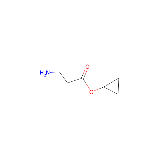 NCCC(=O)OC1CC1